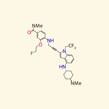 CNC(=O)c1ccc(NCC#Cc2cc3c(N[C@H]4CC[C@H](NC)CC4)cccc3n2CC(F)(F)F)c(OCCF)c1